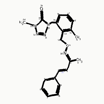 CC(/C=C/c1ccccc1)=NOCc1c(C)cccc1-n1nnn(C)c1=O